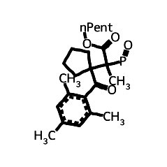 CCCCCOC(=O)C(C)(P=O)C1(C(=O)c2c(C)cc(C)cc2C)CCCC1